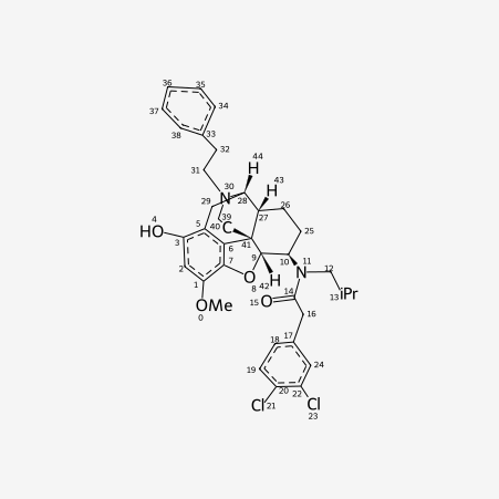 COc1cc(O)c2c3c1O[C@H]1[C@H](N(CC(C)C)C(=O)Cc4ccc(Cl)c(Cl)c4)CC[C@H]4[C@@H](C2)N(CCc2ccccc2)CC[C@@]341